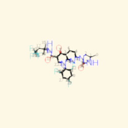 CC1CN(c2ccc3c(=O)c(C(=O)NC(C)(C)CC(F)(F)F)cn(-c4c(F)cc(F)cc4F)c3n2)C(=O)N1